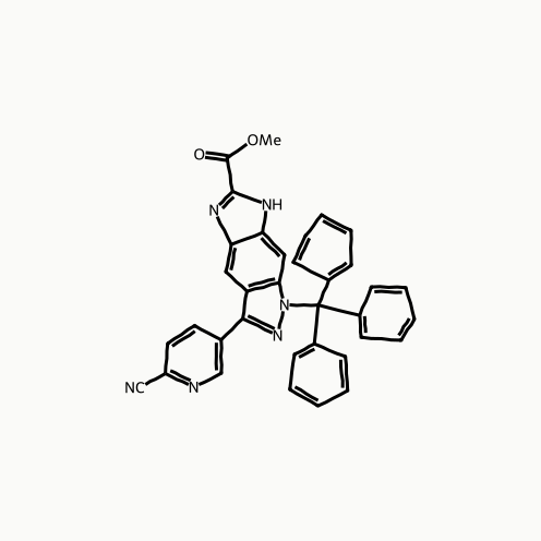 COC(=O)c1nc2cc3c(-c4ccc(C#N)nc4)nn(C(c4ccccc4)(c4ccccc4)c4ccccc4)c3cc2[nH]1